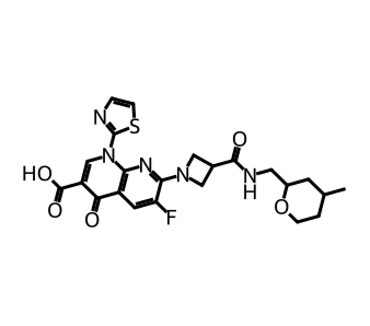 CC1CCOC(CNC(=O)C2CN(c3nc4c(cc3F)c(=O)c(C(=O)O)cn4-c3nccs3)C2)C1